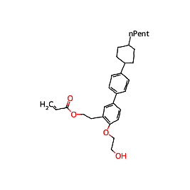 C=CC(=O)OCCc1cc(-c2ccc(C3CCC(CCCCC)CC3)cc2)ccc1OCCO